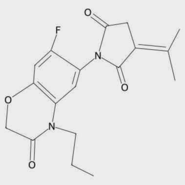 CCCN1C(=O)COc2cc(F)c(N3C(=O)CC(=C(C)C)C3=O)cc21